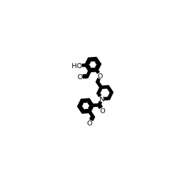 O=Cc1ccccc1C(=O)N1CCCC(COc2cccc(O)c2C=O)C1